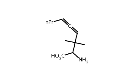 CCCC=C=CC(C)(C)C(N)C(=O)O